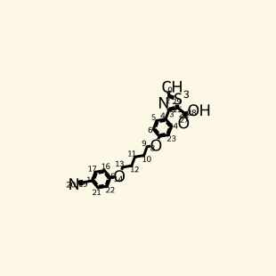 Cc1nc(-c2ccc(OCCCCCOc3ccc(C#N)cc3)cc2)c(C(=O)O)s1